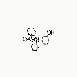 O=C(c1ccccc1Nc1cccc(O)c1)N1CCCCC1